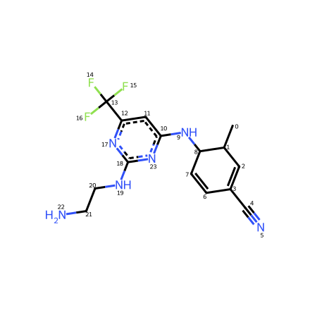 CC1C=C(C#N)C=CC1Nc1cc(C(F)(F)F)nc(NCCN)n1